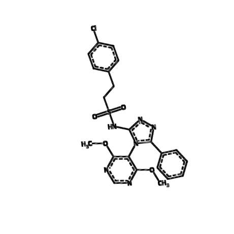 COc1ncnc(OC)c1-n1c(NS(=O)(=O)CCc2ccc(Cl)cc2)nnc1-c1ccccc1